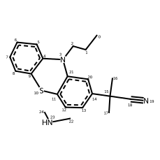 CCCN1c2ccccc2Sc2ccc(C(C)(C)C#N)cc21.CNC